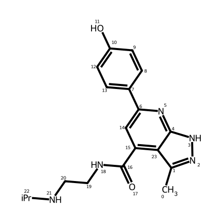 Cc1n[nH]c2nc(-c3ccc(O)cc3)cc(C(=O)NCCNC(C)C)c12